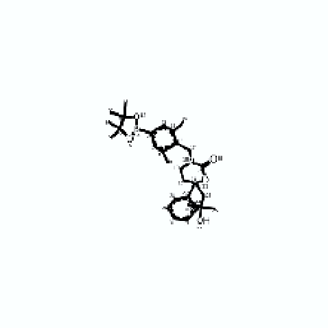 Cc1cc(B2OC(C)(C)C(C)(C)O2)cc(C)c1CN1CCC(CC(C)(C)O)(c2ccccc2)OC1=O